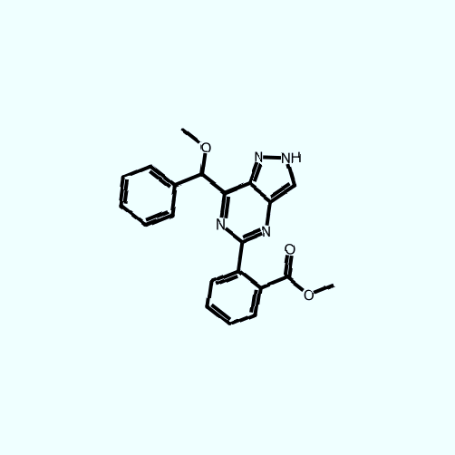 COC(=O)c1ccccc1-c1nc(C(OC)c2ccccc2)c2n[nH]cc2n1